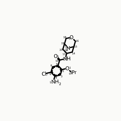 CC(C)Oc1cc(N)c(Cl)cc1C(=O)NC1CC2COCC(C1)N2C